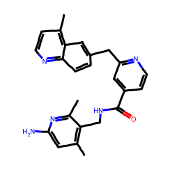 Cc1cc(N)nc(C)c1CNC(=O)c1ccnc(Cc2ccc3nccc(C)c3c2)c1